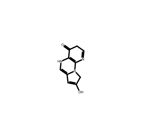 O=C1CC=NC2=C1NC=C1C=C(O)CN12